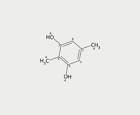 Cc1cc(O)c(C)c(O)c1